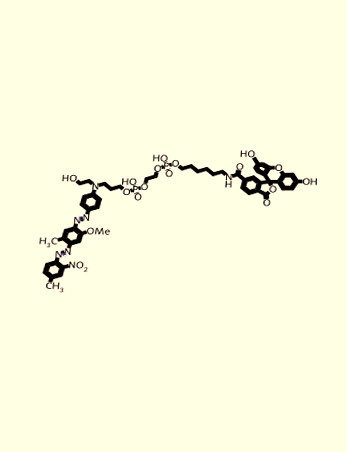 COc1cc(/N=N/c2ccc(C)cc2[N+](=O)[O-])c(C)cc1/N=N/c1ccc(N(CCO)CCCOP(=O)(O)OCCOP(=O)(O)OCCCCCCNC(=O)c2ccc3c(c2)C2(OC3=O)c3ccc(O)cc3Oc3cc(O)ccc32)cc1